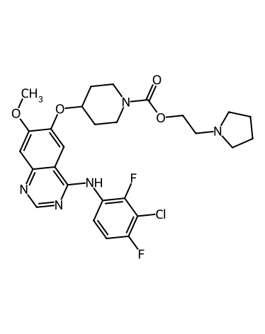 COc1cc2ncnc(Nc3ccc(F)c(Cl)c3F)c2cc1OC1CCN(C(=O)OCCN2CCCC2)CC1